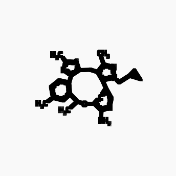 Cc1ccc2c(c1)C(C)Oc1cc(cnc1N)-c1c(c(C)nn1CC1CC1)Cc1sc(C)nc1-2